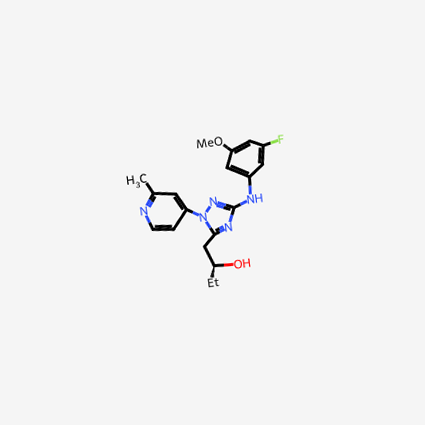 CC[C@H](O)Cc1nc(Nc2cc(F)cc(OC)c2)nn1-c1ccnc(C)c1